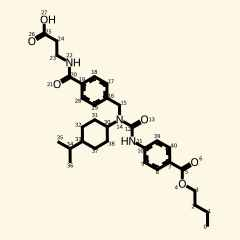 CCCCOC(=O)c1ccc(NC(=O)N(Cc2ccc(C(=O)NCCC(=O)O)cc2)C2CCC(C(C)C)CC2)cc1